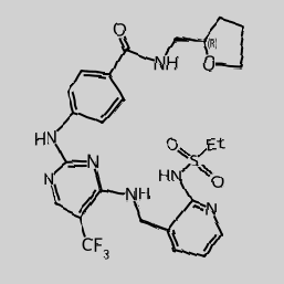 CCS(=O)(=O)Nc1ncccc1CNc1nc(Nc2ccc(C(=O)NC[C@H]3CCCO3)cc2)ncc1C(F)(F)F